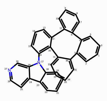 c1ccc2c(c1)-c1ccccc1-c1cccc(-n3c4ccccc4c4ccncc43)c1-c1ccccc1-2